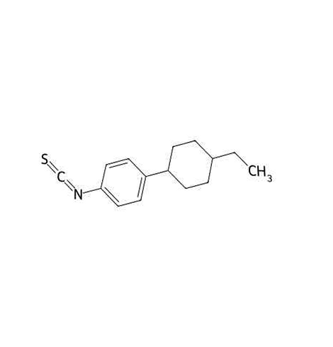 CCC1CCC(c2ccc(N=C=S)cc2)CC1